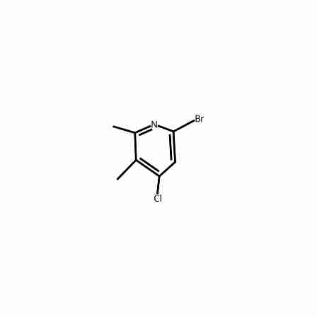 Cc1nc(Br)cc(Cl)c1C